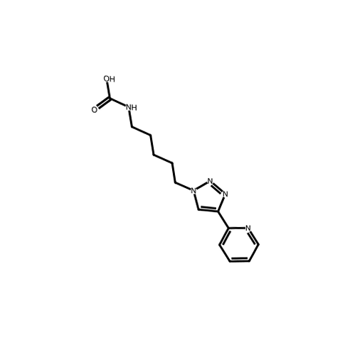 O=C(O)NCCCCCn1cc(-c2ccccn2)nn1